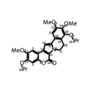 COc1cc2c(cc1OC(C)C)oc(=O)c1c2cc2n1CCc1c-2cc(OC)c(OC)c1OC(C)C